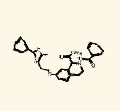 COC(=O)C1c2cc(OCCc3nc(-c4ccccc4)oc3C)ccc2CCN1NC(=O)c1ccccc1